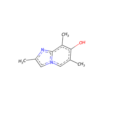 Cc1cn2cc(C)c(O)c(C)c2n1